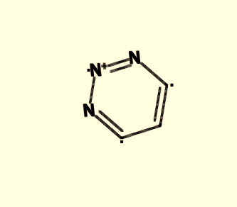 [C]1=C[C]=N[N+]=N1